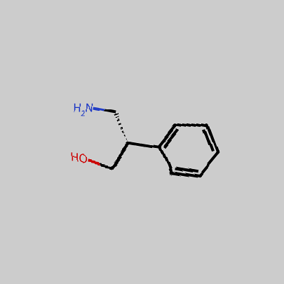 NC[C@@H](CO)c1ccccc1